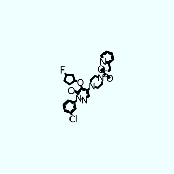 O=c1c(OC2CCC(F)C2)c(N2CCN(S(=O)(=O)Cc3ccccn3)CC2)cnn1-c1cccc(Cl)c1